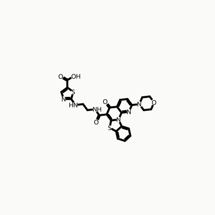 O=C(O)c1cnc(NCCNC(=O)c2c(=O)c3ccc(N4CCOCC4)nc3n3c2sc2ccccc23)s1